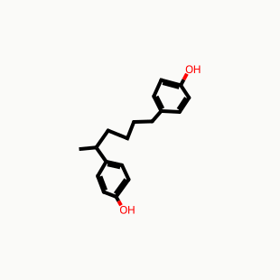 CC(CCCCc1ccc(O)cc1)c1ccc(O)cc1